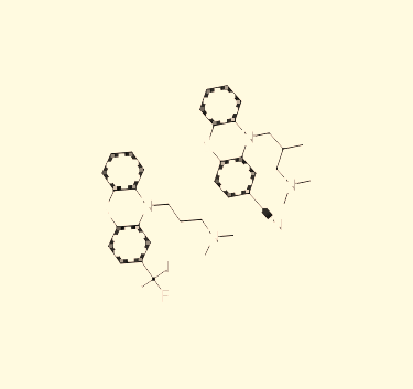 CC(CN(C)C)CN1c2ccccc2Sc2ccc(C#N)cc21.CN(C)CCCN1c2ccccc2Sc2ccc(C(F)(F)F)cc21